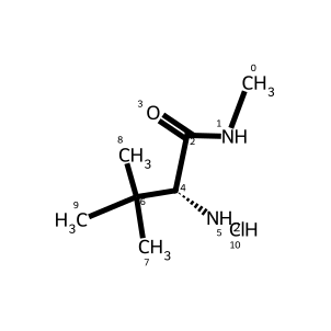 CNC(=O)[C@H](N)C(C)(C)C.Cl